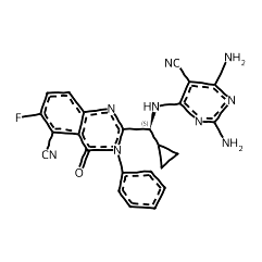 N#Cc1c(N)nc(N)nc1N[C@H](c1nc2ccc(F)c(C#N)c2c(=O)n1-c1ccccc1)C1CC1